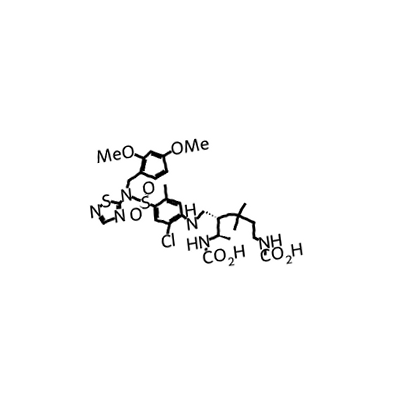 COc1ccc(CN(c2ncns2)S(=O)(=O)c2cc(Cl)c(NC[C@H](CC(C)(C)CCNC(=O)O)[C@@H](C)NC(=O)O)cc2C)c(OC)c1